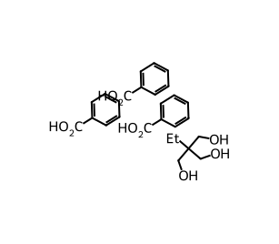 CCC(CO)(CO)CO.O=C(O)c1ccccc1.O=C(O)c1ccccc1.O=C(O)c1ccccc1